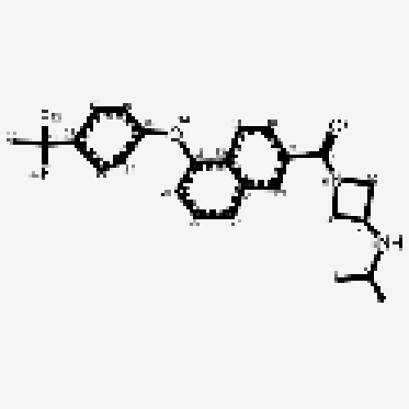 CC(C)NC1CN(C(=O)c2ccc3c(Oc4ccc(C(C)(F)F)cc4)cccc3c2)C1